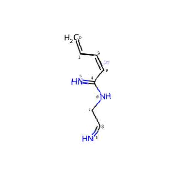 C=C/C=C\C(=N)NCC=N